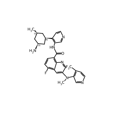 C[C@@H]1C[C@H](N)C[C@H](c2ccncc2NC(=O)c2ccc(F)c3cc(N(C)c4cnccc4C(F)(F)F)cnc23)C1